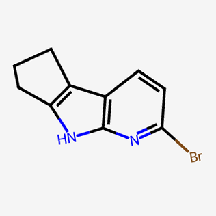 Brc1ccc2c3c([nH]c2n1)CCC3